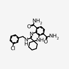 NC(=O)c1ccc(C(N)=O)c2c1N=C(NCc1cccc(Cl)c1)C1(CCCCC1)N2